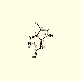 C=C/N=C1/NC=C(C)/C1=C/N